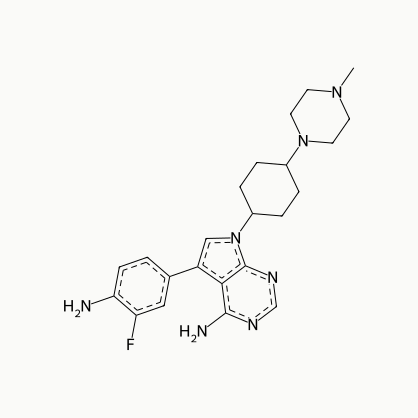 CN1CCN(C2CCC(n3cc(-c4ccc(N)c(F)c4)c4c(N)ncnc43)CC2)CC1